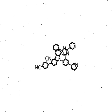 N#Cc1ccc(-c2ccc3c(c2)c2ccccc2n3-c2ccc(-c3cccnc3)cc2-c2nc(-c3ccccc3)nc(-c3ccccc3)n2)c(C#N)c1